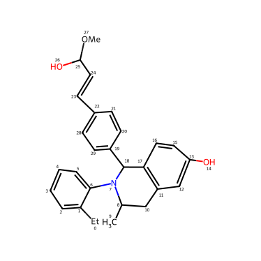 CCc1ccccc1N1C(C)Cc2cc(O)ccc2C1c1ccc(/C=C/C(O)OC)cc1